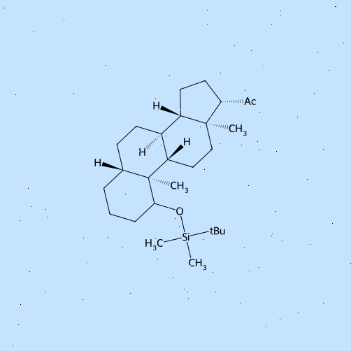 CC(=O)[C@H]1CC[C@H]2[C@@H]3CC[C@H]4CCCC(O[Si](C)(C)C(C)(C)C)[C@]4(C)[C@H]3CC[C@]12C